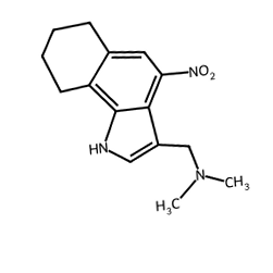 CN(C)Cc1c[nH]c2c3c(cc([N+](=O)[O-])c12)CCCC3